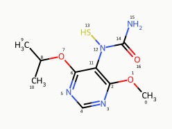 COc1ncnc(OC(C)C)c1N(S)C(N)=O